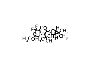 COC(=O)CN(C(=O)C(F)(F)F)[C@H](C(=O)N1C[C@@H]2[C@H](C1)C2(C)C)C(C)(C)C